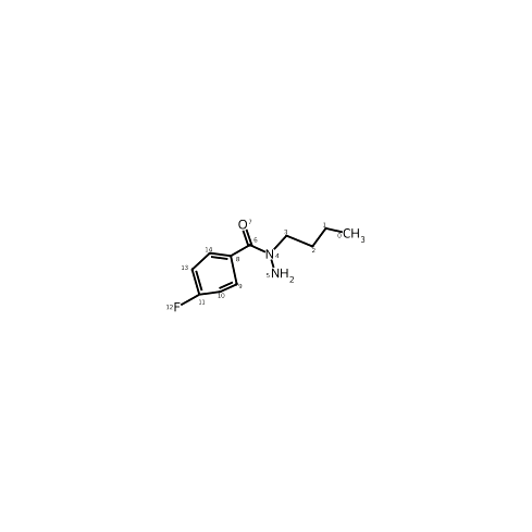 CCCCN(N)C(=O)c1ccc(F)cc1